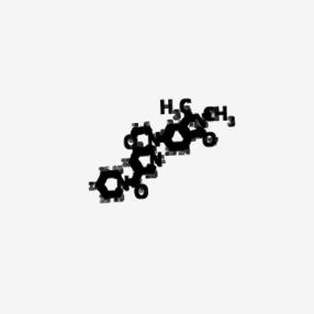 CC1c2cc(N3CCOc4cc(C(=O)N5CCCCC5)cnc43)ccc2C(=O)N1C